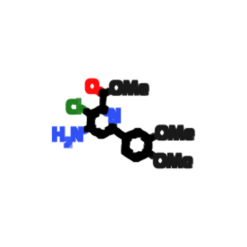 COC(=O)c1nc(-c2ccc(OC)c(OC)c2)cc(N)c1Cl